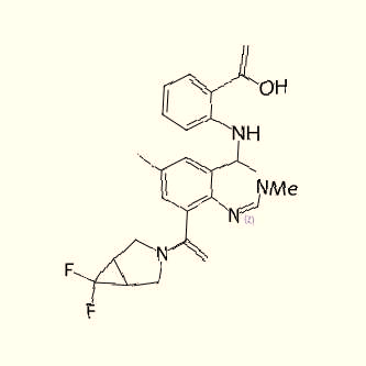 C=C(O)c1ccccc1NC(C)c1cc(C)cc(C(=C)N2CC3C(C2)C3(F)F)c1/N=C\NC